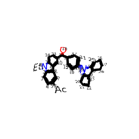 CCn1c2ccc(C(C)=O)cc2c2cc(C(=O)c3ccc(-n4c5ccccc5c5ccccc54)cc3)ccc21